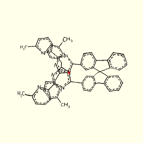 Cc1cccc(-c2nc(-c3ccc4c(c3)C3(c5ccccc5-4)c4ccccc4-c4ccc(-c5nc(-c6cccc(C)n6)nc(-c6cccc(C)n6)n5)cc43)nc(-c3cccc(C)n3)n2)n1